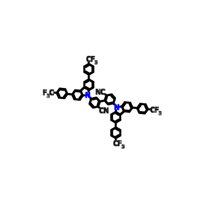 N#Cc1ccc(-n2c3ccc(-c4ccc(C(F)(F)F)cc4)cc3c3cc(-c4ccc(C(F)(F)F)cc4)ccc32)cc1-c1cc(-n2c3ccc(-c4ccc(C(F)(F)F)cc4)cc3c3cc(-c4ccc(C(F)(F)F)cc4)ccc32)ccc1C#N